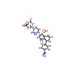 COc1c(-c2ccc(N3CC(C)O[C@H](C)C3)cn2)cnc2c(-c3ccc(C#N)cc3)cccc12